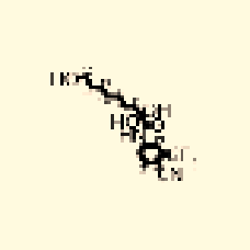 N#Cc1ccc(NC(=O)C(O)(O)CCCCCCCO)cc1C(F)(F)F